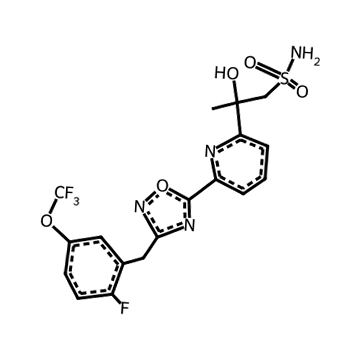 CC(O)(CS(N)(=O)=O)c1cccc(-c2nc(Cc3cc(OC(F)(F)F)ccc3F)no2)n1